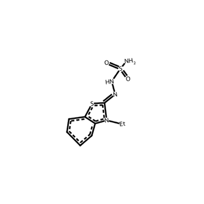 CCn1/c(=N/NS(N)(=O)=O)sc2ccccc21